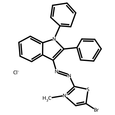 C[n+]1cc(Br)sc1/N=N/c1c(-c2ccccc2)n(-c2ccccc2)c2ccccc12.[Cl-]